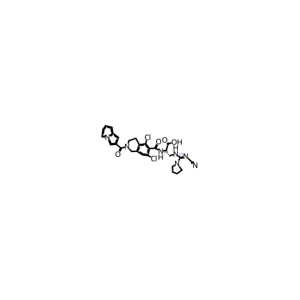 N#C/N=C(/NC[C@H](NC(=O)c1c(Cl)cc2c(c1Cl)CCN(C(=O)c1cc3ccccn3c1)C2)C(=O)O)N1CCCC1